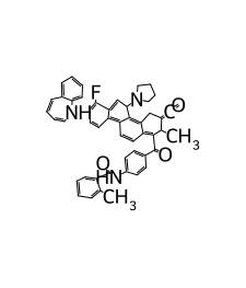 C1=CNc2ccccc2C=C1.Cc1ccccc1C(=O)Nc1ccc(C(=O)C2=c3ccc4c(c3CC(=C=O)C2C)C(N2CCCC2)C=c2c(F)cccc2=4)cc1